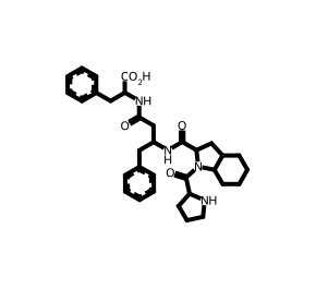 O=C(CC(Cc1ccccc1)NC(=O)C1CC2CCCCC2N1C(=O)C1CCCN1)NC(Cc1ccccc1)C(=O)O